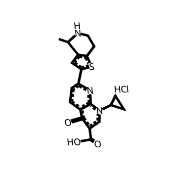 CC1NCCc2sc(-c3ccc4c(=O)c(C(=O)O)cn(C5CC5)c4n3)cc21.Cl